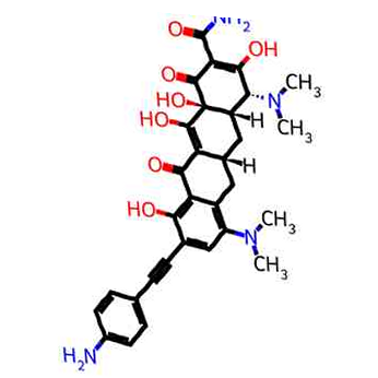 CN(C)c1cc(C#Cc2ccc(N)cc2)c(O)c2c1C[C@H]1C[C@H]3[C@@H](N(C)C)C(O)=C(C(N)=O)C(=O)[C@@]3(O)C(O)=C1C2=O